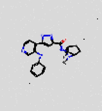 N#CN1CC2CCC1[C@@H]2NC(=O)c1cc(-c2ccncc2Nc2ccccc2)[nH]n1